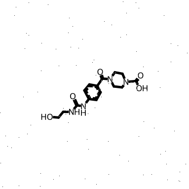 O=C(NCCO)Nc1ccc(C(=O)N2CCN(C(=O)O)CC2)cc1